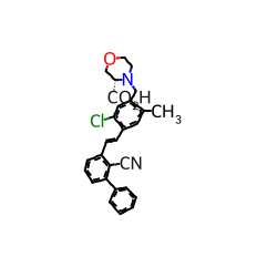 Cc1cc(/C=C/c2cccc(-c3ccccc3)c2C#N)c(Cl)cc1CN1CCOC[C@H]1C(=O)O